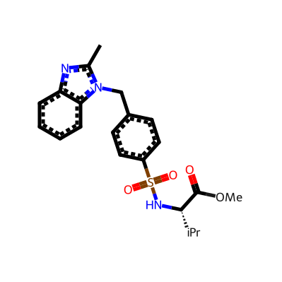 COC(=O)[C@@H](NS(=O)(=O)c1ccc(Cn2c(C)nc3ccccc32)cc1)C(C)C